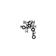 CN1CCC(Nc2nc(Nc3ccc(OCC4CCCCC4)cc3)c3c(=O)[nH]cc(Br)c3n2)CC1